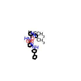 CC1CN(c2ncccc2C(=O)NS(=O)(=O)c2cccc(Nc3ccc(-c4ccccc4)cc3)n2)C(C)(C)C1